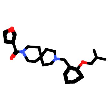 CC(C)COc1ccccc1CN1CCC2(CC1)CCN(C(=O)c1ccoc1)CC2